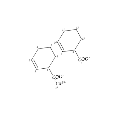 O=C([O-])C1C=CCCC1.O=C([O-])C1C=CCCC1.[Cu+2]